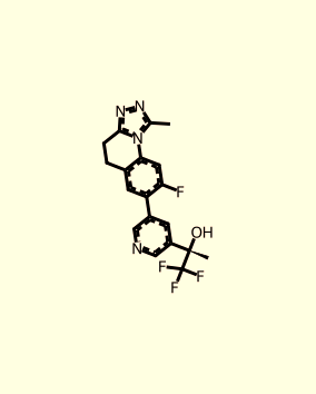 Cc1nnc2n1-c1cc(F)c(-c3cncc([C@](C)(O)C(F)(F)F)c3)cc1CC2